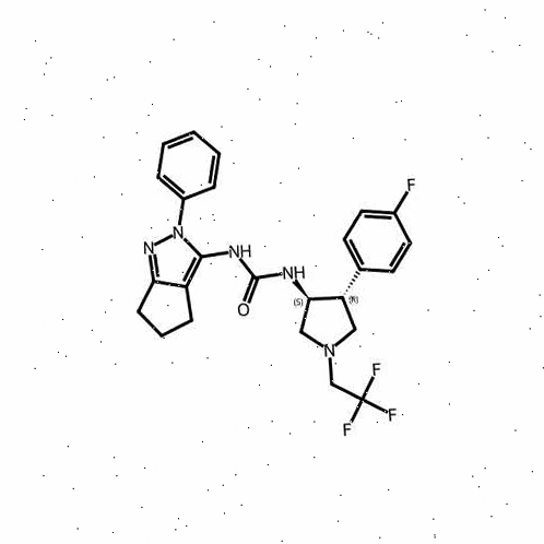 O=C(Nc1c2c(nn1-c1ccccc1)CCC2)N[C@@H]1CN(CC(F)(F)F)C[C@H]1c1ccc(F)cc1